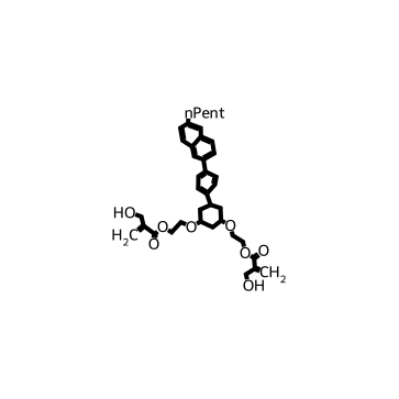 C=C(CO)C(=O)OCCOC1CC(OCCOC(=O)C(=C)CO)CC(c2ccc(-c3ccc4cc(CCCCC)ccc4c3)cc2)C1